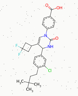 CC(C)(C)CCc1ccc(C2NC(=O)N(c3ccc(C(=O)O)cc3)C=C2C2CC(F)(F)C2)cc1Cl